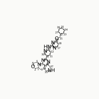 CC1COCCN1c1nc(-c2ccc(Nc3nccc(OCc4ccccc4)n3)nc2)nc2c1CCNC2